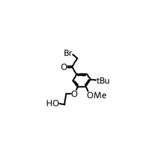 COc1c(OCCO)cc(C(=O)CBr)cc1C(C)(C)C